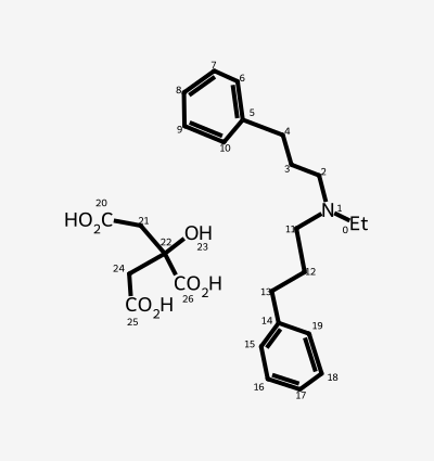 CCN(CCCc1ccccc1)CCCc1ccccc1.O=C(O)CC(O)(CC(=O)O)C(=O)O